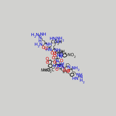 COc1ccc2c(CC(=O)[C@](CNc3ccc([N+](=O)[O-])cc3[N+](=O)[O-])(C(=O)N[C@@H](C)C(=O)N[C@H](CCCNC(=N)N)C(=O)N[C@H](CCC(=O)O)C(=O)N[C@H](CCCNC(=N)N)C(N)=O)N(C(=O)[C@H](CCC(=O)O)NC(=O)[C@H](CC(C)C)NC(=O)[C@@H]3CCCN3C(=O)[C@H](N)CCCNC(=N)N)C(=O)[C@@H](N)CCCCOCc3ccccc3)cc(=O)oc2c1